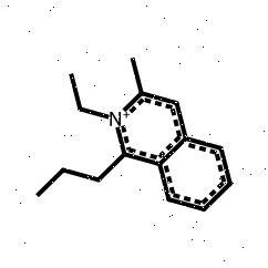 CCCc1c2ccccc2cc(C)[n+]1CC